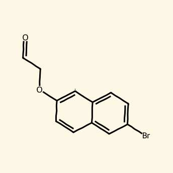 O=CCOc1[c]c2ccc(Br)cc2cc1